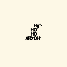 [Al+3].[Hg+].[OH-].[OH-].[OH-].[OH-]